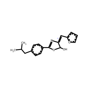 CC(C)Cc1ccc(C2=N/C(=C/c3ccco3)C(O)O2)cc1